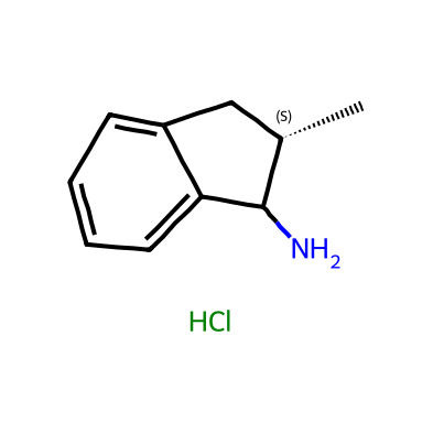 C[C@H]1Cc2ccccc2C1N.Cl